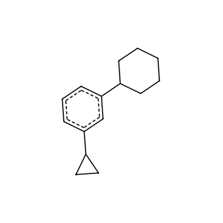 c1cc(C2CCCCC2)cc(C2CC2)c1